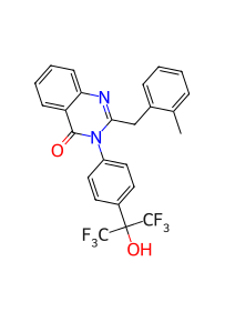 Cc1ccccc1Cc1nc2ccccc2c(=O)n1-c1ccc(C(O)(C(F)(F)F)C(F)(F)F)cc1